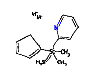 [CH3][Sc]([CH3])(=[SiH2])([C]1=CC=CC1)[c]1ccccn1.[H-].[H-]